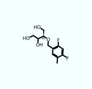 Cc1cc(CO[C@H](CO)C(O)CO)c(F)cc1F